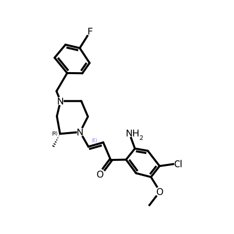 COc1cc(C(=O)/C=C/N2CCN(Cc3ccc(F)cc3)C[C@H]2C)c(N)cc1Cl